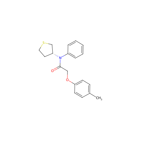 Cc1ccc(OCC(=O)N(c2ccccc2)[C@@H]2CCSC2)cc1